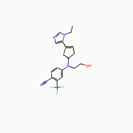 CCn1cncc1C1=CCC(N(CCO)c2ccc(C#N)c(C(F)(F)F)c2)C1